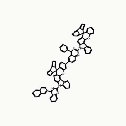 c1ccc(-c2nc(-n3c4ccccc4c4c5c(ccc43)C3(c4ccccc4S5)c4ccccc4-c4ccccc43)nc3ccc(-c4ccc5c(c4)Sc4c(ccc6c4c4ccccc4n6-c4nc(-c6ccc7ccccc7c6)c6ccccc6n4)C54c5ccccc5-c5ccccc54)cc23)cc1